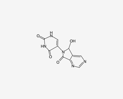 O=C1c2ncncc2C(O)N1c1c[nH]c(=O)[nH]c1=O